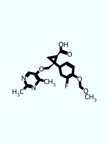 COCOC1=C(F)CC([C@]2(COc3cnc(C)nc3C)C[C@H]2C(=O)O)C=C1